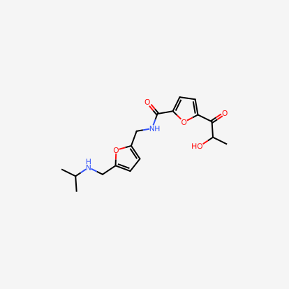 CC(C)NCc1ccc(CNC(=O)c2ccc(C(=O)C(C)O)o2)o1